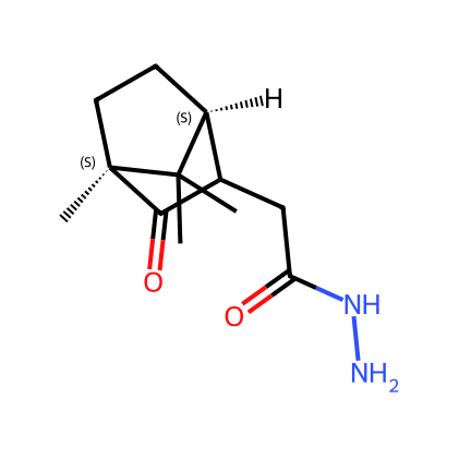 CC1(C)[C@H]2CC[C@]1(C)C(=O)C2CC(=O)NN